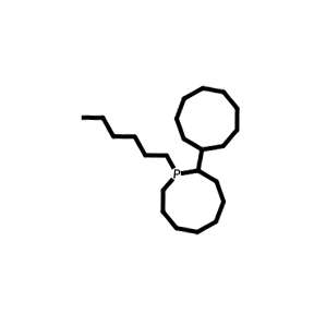 CCCCCCP1CCCCCCCC1C1CCCCCCCC1